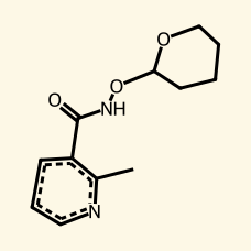 Cc1ncccc1C(=O)NOC1CCCCO1